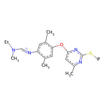 CCN(C)/C=N/c1cc(C)c(Oc2cc(C)nc(SC(C)C)n2)cc1C